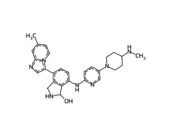 CNC1CCN(c2ccc(Nc3ccc(-c4cnc5cc(C)ccn45)c4c3C(O)NC4)nc2)CC1